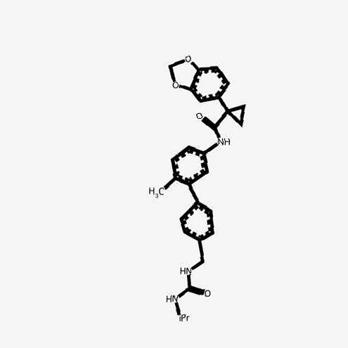 Cc1ccc(NC(=O)C2(c3ccc4c(c3)OCO4)CC2)cc1-c1ccc(CNC(=O)NC(C)C)cc1